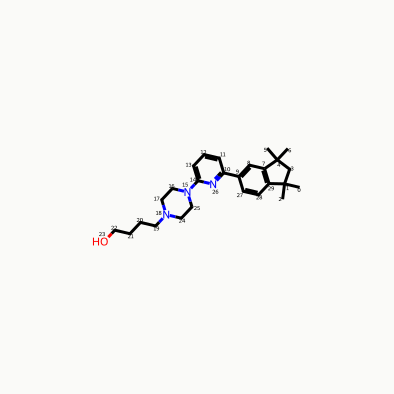 CC1(C)CC(C)(C)c2cc(-c3cccc(N4CCN(CCCCO)CC4)n3)ccc21